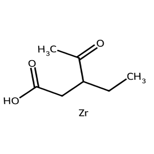 CCC(CC(=O)O)C(C)=O.[Zr]